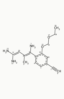 C#Cc1ccc(/C(N)=C(\C)C=C(N)N)c(OCOCC)c1